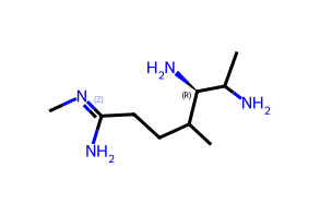 C/N=C(\N)CCC(C)[C@@H](N)C(C)N